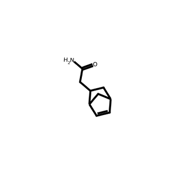 NC(=O)CC1CC2C=CC1C2